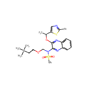 CCCS(=O)(=O)N(COCC[Si](C)(C)C)c1nc2ccccc2nc1OC(c1cnc(C(C)=O)s1)C(F)(F)F